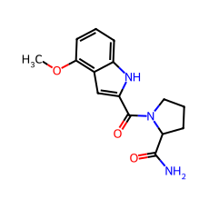 COc1cccc2[nH]c(C(=O)N3CCCC3C(N)=O)cc12